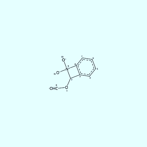 O=[C]OC1c2ccccc2[N+]1([O-])[O-]